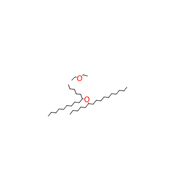 CCCCCCCCCCC(CCCCC)OC(CCCCC)CCCCCCCCC.CCOCC